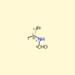 CC(C)[C@@H](C)NC=O